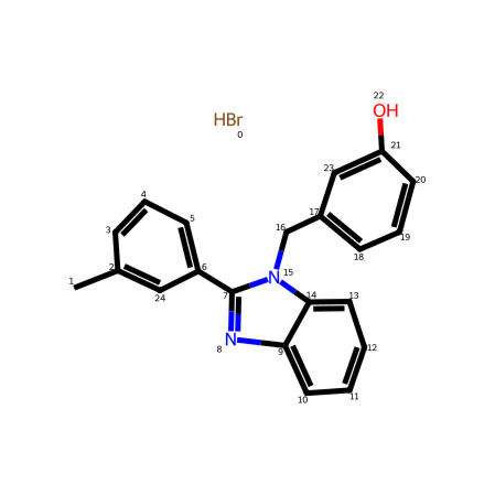 Br.Cc1cccc(-c2nc3ccccc3n2Cc2cccc(O)c2)c1